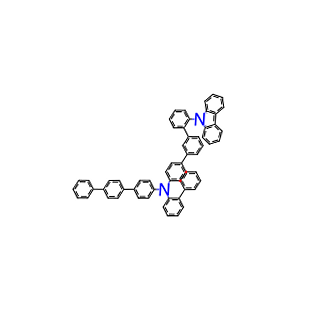 c1ccc(-c2ccc(-c3ccc(N(c4ccc(-c5cccc(-c6ccccc6-n6c7ccccc7c7ccccc76)c5)cc4)c4ccccc4-c4ccccc4)cc3)cc2)cc1